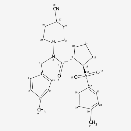 Cc1ccc(CN(C(=O)[C@@H]2CCC[C@H]2S(=O)(=O)c2ccc(C)cc2)C2CCC(C#N)CC2)cc1